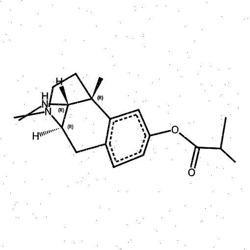 CN[C@H]1[C@H]2Cc3ccc(OC(=O)C(C)C)cc3[C@@]1(C)CCN2C